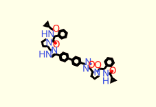 O=C(NC(C(=O)N1CCCC1c1nc(-c2ccc(-c3ccc(-c4c[nH]c(C5CCCN5C(=O)[C@H](NC(=O)C5CC5)c5ccccc5)n4)cc3)cc2)no1)c1ccccc1)C1CC1